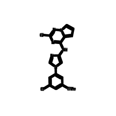 COc1cc(Cl)cc(-n2cnc(Nc3nc(Cl)nn4cccc34)c2)c1